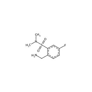 CN(C)S(=O)(=O)c1cc(F)ccc1CN